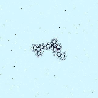 Cc1cc2c(cc1-c1ccc(N(c3ccc(-c4ccc5c6ccccc6c6ccccc6c5c4)cc3)c3ccccc3-c3ccccc3)cc1)CCCC2